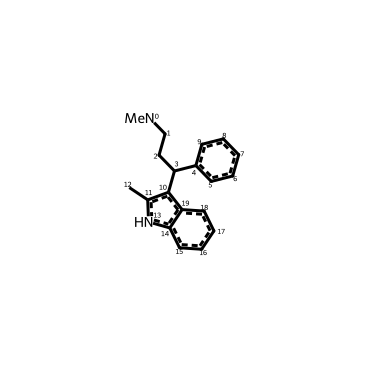 CNCCC(c1ccccc1)c1c(C)[nH]c2ccccc12